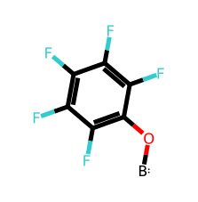 [B]Oc1c(F)c(F)c(F)c(F)c1F